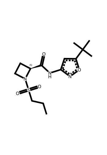 CCCS(=O)(=O)N1CC[C@H]1C(=O)Nc1cc(C(C)(C)C)on1